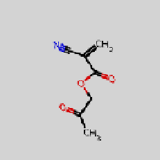 C=C(C#N)C(=O)OCC(C)=O